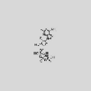 Nc1nc(F)nc2c1ncn2[C@@H]1O[C@H](COP(=O)(O)OP(=O)(O)OP(=O)(O)O)C(O)C1F